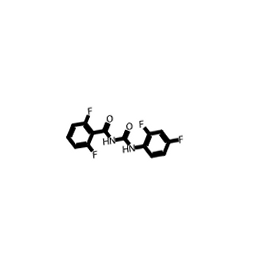 O=C(NC(=O)c1c(F)cccc1F)Nc1ccc(F)cc1F